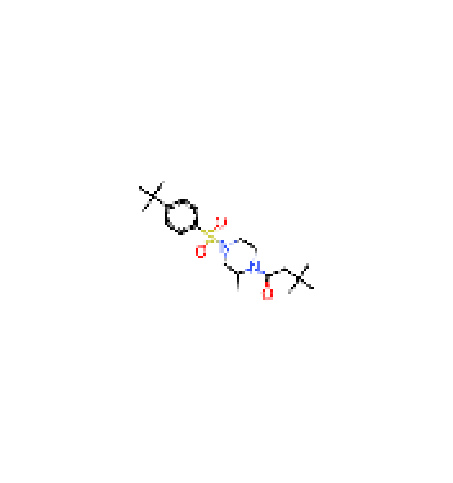 CC1CN(S(=O)(=O)c2ccc(C(C)(C)C)cc2)CCN1C(=O)CC(C)(C)C